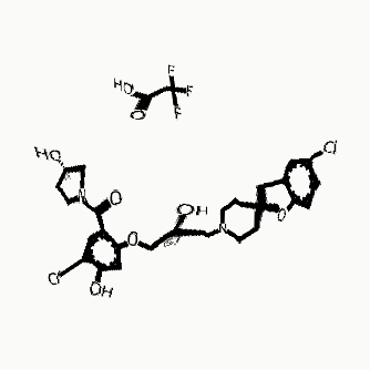 O=C(O)C(F)(F)F.O=C(c1cc(Cl)c(O)cc1OC[C@@H](O)CN1CCC2(CC1)Cc1cc(Cl)ccc1O2)N1CC[C@H](O)C1